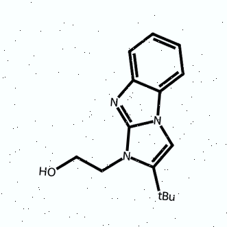 CC(C)(C)c1cn2c3ccccc3nc2n1CCO